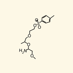 COCC(N)OC(C)COCCOS(=O)(=O)c1ccc(C)cc1